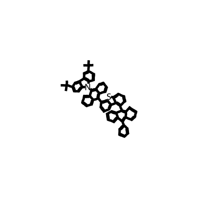 CC(C)(C)c1ccc2c(c1)c1cc(C(C)(C)C)ccc1n2-c1c2ccccc2c(-c2cccc3c2sc2cccc(-c4c5ccccc5c(-c5ccccc5)c5ccccc45)c23)c2ccccc12